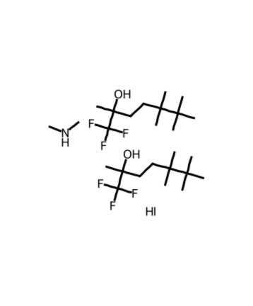 CC(C)(C)C(C)(C)CCC(C)(O)C(F)(F)F.CC(C)(C)C(C)(C)CCC(C)(O)C(F)(F)F.CNC.I